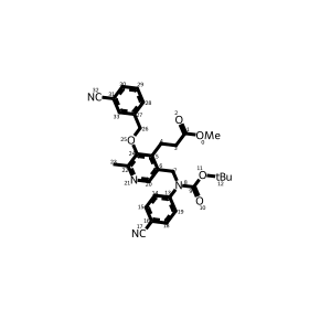 COC(=O)CCc1c(CN(C(=O)OC(C)(C)C)c2ccc(C#N)cc2)cnc(C)c1OCc1cccc(C#N)c1